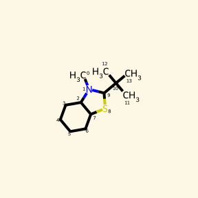 CN1C2CCCCC2SC1C(C)(C)C